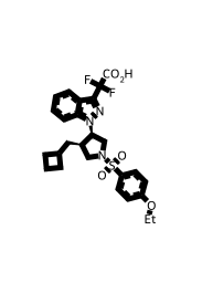 CCOc1ccc(S(=O)(=O)N2C[C@@H](CC3CCC3)[C@@H](n3nc(C(F)(F)C(=O)O)c4ccccc43)C2)cc1